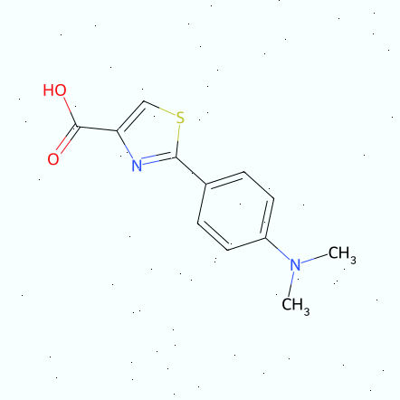 CN(C)c1ccc(-c2nc(C(=O)O)cs2)cc1